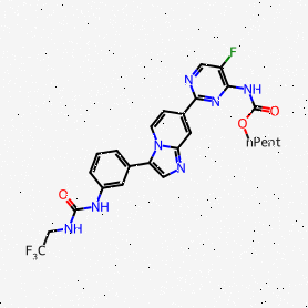 CCCCCOC(=O)Nc1nc(-c2ccn3c(-c4cccc(NC(=O)NCC(F)(F)F)c4)cnc3c2)ncc1F